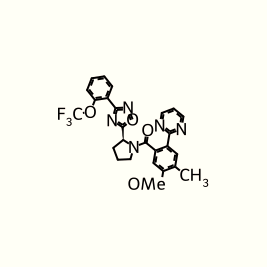 COc1cc(C(=O)N2CCC[C@H]2c2nc(-c3ccccc3OC(F)(F)F)no2)c(-c2ncccn2)cc1C